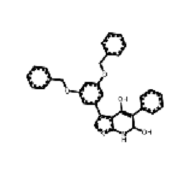 OC1=C(c2ccccc2)C(O)Nc2scc(-c3cc(OCc4ccccc4)cc(OCc4ccccc4)c3)c21